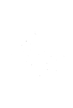 Nc1ccc2c(c1Br)C(c1ccccc1)Oc1cccc(OC(F)F)c1-2